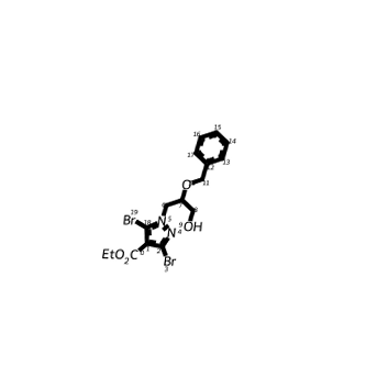 CCOC(=O)c1c(Br)nn(CC(CO)OCc2ccccc2)c1Br